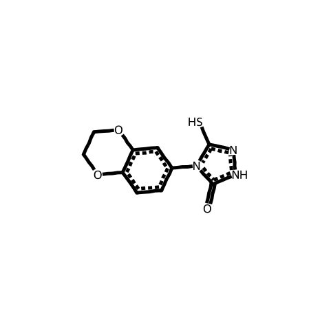 O=c1[nH]nc(S)n1-c1ccc2c(c1)OCCO2